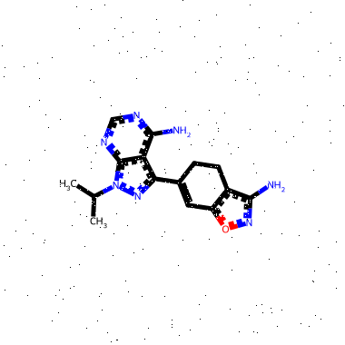 CC(C)n1nc(C2=Cc3onc(N)c3CC2)c2c(N)ncnc21